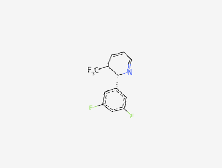 Fc1cc(F)cc([C@H]2N=CC=CC2C(F)(F)F)c1